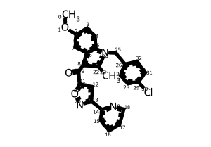 COc1ccc2c(c1)c(C(=O)c1cc(-c3ccccn3)no1)c(C)n2Cc1ccc(Cl)cc1